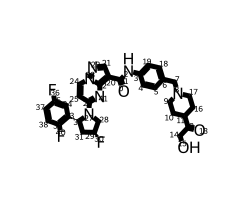 O=C(Nc1ccc(CN2CCC(C(=O)CO)CC2)cc1)c1cnn2ccc(N3C[C@@H](F)C[C@@H]3c3cc(F)ccc3F)nc12